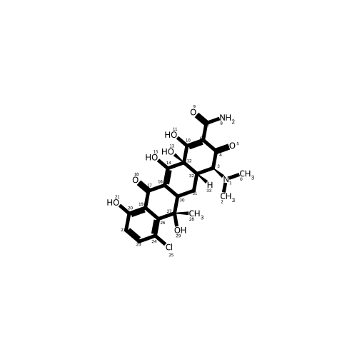 CN(C)[C@@H]1C(=O)C(C(N)=O)=C(O)[C@@]2(O)C(O)=C3C(=O)c4c(O)ccc(Cl)c4[C@@](C)(O)C3C[C@@H]12